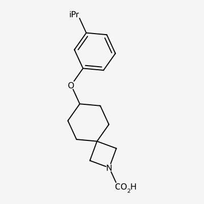 CC(C)c1cccc(OC2CCC3(CC2)CN(C(=O)O)C3)c1